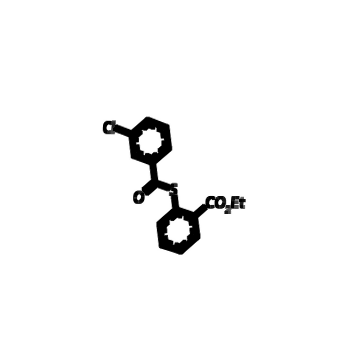 CCOC(=O)c1ccccc1SC(=O)c1cccc(Cl)c1